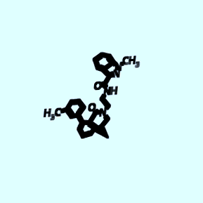 Cc1cccc(-c2ccccc2C(=O)N(CCNC(=O)c2nn(C)c3ccccc23)CC2CC2)c1